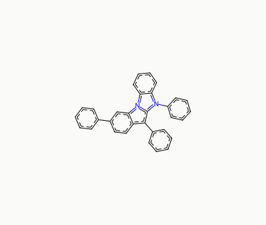 c1ccc(-c2ccc3c(-c4ccccc4)c4n(-c5ccccc5)c5ccccc5n4c3c2)cc1